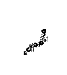 O=C(Cc1ccccc1)NC(=O)Nc1ccc(Oc2ccnc(NC(=O)N3CCC(N4CCC4)CC3)c2)cc1